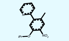 Cc1cc([N+](=O)[O-])c(OC(C)C)cc1-c1ccccn1